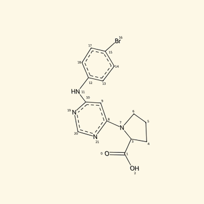 O=C(O)C1CCCN1c1cc(Nc2ccc(Br)cc2)ncn1